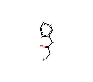 [CH2]C(C)CC(=O)Cc1ccccc1